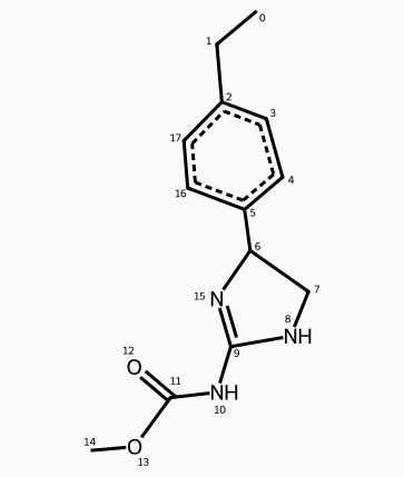 CCc1ccc(C2CNC(NC(=O)OC)=N2)cc1